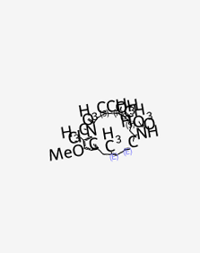 COc1cc2cc(c1Cl)N(C)C(=O)C[C@H](C)C(C)[C@@H](O)[C@H](C)[C@@H]1CC(C/C=C/C=C(\C)C2)NC(=O)O1